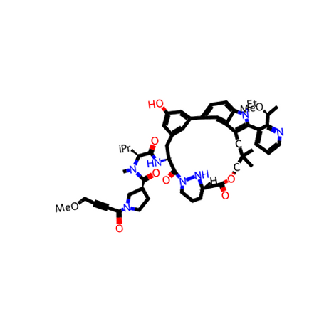 CCn1c(-c2cccnc2[C@H](C)OC)c2c3cc(ccc31)-c1cc(O)cc(c1)C[C@H](NC(=O)[C@H](C(C)C)N(C)C(=O)[C@H]1CCN(C(=O)C#CCOC)C1)C(=O)N1CCC[C@H](N1)C(=O)OCC(C)(C)C2